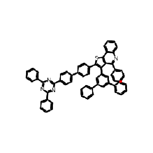 c1ccc(-c2cc(-c3ccccc3)cc(-c3c(-c4ccc(-c5ccc(-c6nc(-c7ccccc7)nc(-c7ccccc7)n6)cc5)cc4)sc4c3c(-c3ccccc3)nc3ccccc34)c2)cc1